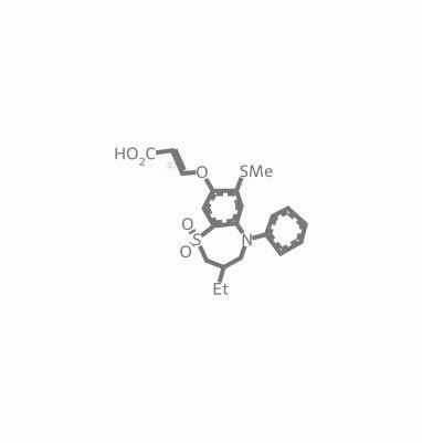 CCC1CN(c2ccccc2)c2cc(SC)c(O/C=C/C(=O)O)cc2S(=O)(=O)C1